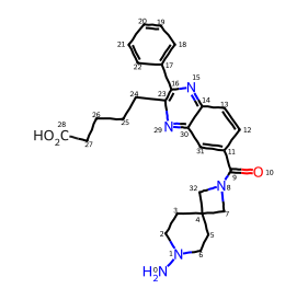 NN1CCC2(CC1)CN(C(=O)c1ccc3nc(-c4ccccc4)c(CCCCC(=O)O)nc3c1)C2